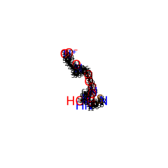 Cc1ncsc1-c1ccc(C(C)NC(=O)[C@@H]2C[C@@H](O)CN2C(=O)C(c2cc(OCCOCCOc3ccc(CN4C(=O)/C(=C\C=C\c5ccc([N+](=O)[O-])cc5)c5ccccc54)cc3)no2)C(C)C)cc1